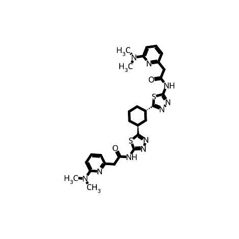 CN(C)c1cccc(CC(=O)Nc2nnc([C@H]3CCC[C@H](c4nnc(NC(=O)Cc5cccc(N(C)C)n5)s4)C3)s2)n1